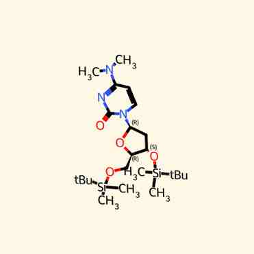 CN(C)c1ccn([C@H]2C[C@H](O[Si](C)(C)C(C)(C)C)[C@@H](CO[Si](C)(C)C(C)(C)C)O2)c(=O)n1